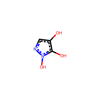 Oc1cnn(O)c1O